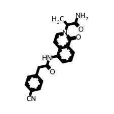 CC(C(N)=O)n1ccc2c(NC(=O)Cc3ccc(C#N)cc3)cccc2c1=O